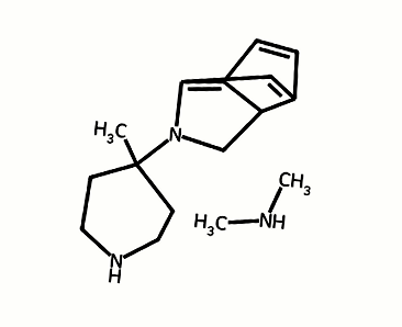 CC1(N2CC3C4=CC2=C3C=C4)CCNCC1.CNC